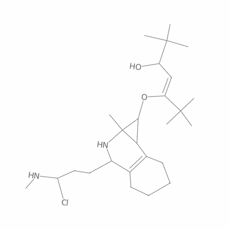 CNC(Cl)CCC1NC2(C)C(O/C(=C\C(O)C(C)(C)C)C(C)(C)C)C2C2=C1CCCC2